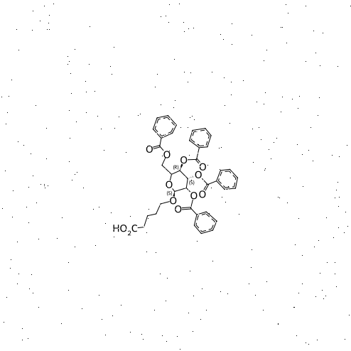 O=C(O)CCCCO[C@H]1OC(COC(=O)c2ccccc2)[C@@H](OC(=O)c2ccccc2)[C@H](OC(=O)c2ccccc2)C1OC(=O)c1ccccc1